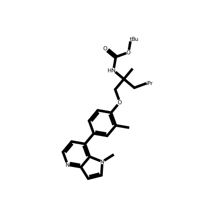 Cc1cc(-c2ccnc3ccn(C)c23)ccc1OCC(C)(CC(C)C)NC(=O)OC(C)(C)C